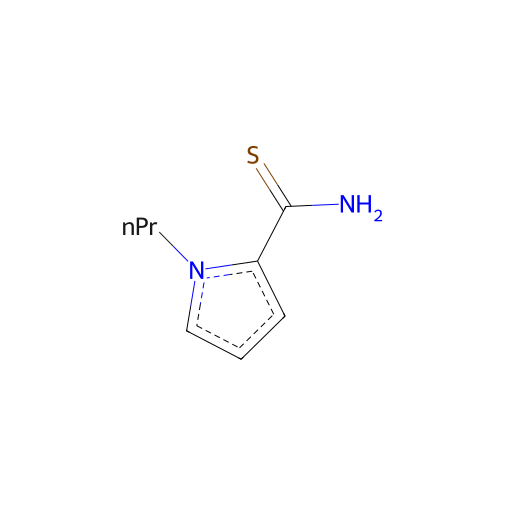 CCCn1cccc1C(N)=S